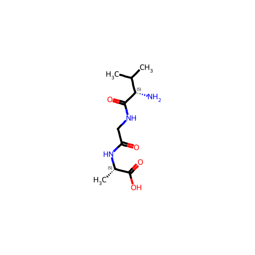 CC(C)[C@H](N)C(=O)NCC(=O)N[C@@H](C)C(=O)O